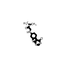 CN(C)C(=O)CNC1CCc2c(sc3ncnc(Cl)c23)C1